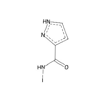 O=C(NI)c1cc[nH]n1